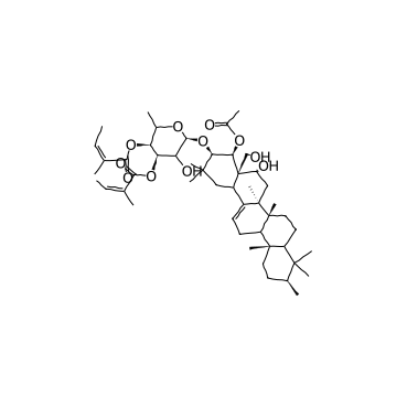 C/C=C(/C)C(=O)O[C@@H]1C(O)[C@H](O[C@H]2[C@@H](OC(C)=O)[C@@]3(CO)C(CC2(C)C)C2=CCC4[C@@]5(C)CC[C@H](C)C(C)(C)C5CC[C@@]4(C)[C@]2(C)C[C@@H]3O)OC(C)[C@@H]1OC(=O)/C(C)=C\C